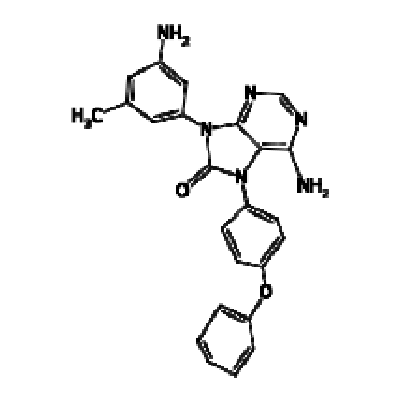 Cc1cc(N)cc(-n2c(=O)n(-c3ccc(Oc4ccccc4)cc3)c3c(N)ncnc32)c1